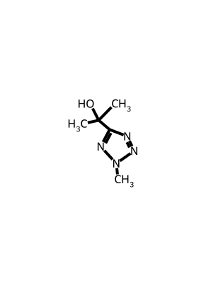 Cn1nnc(C(C)(C)O)n1